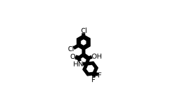 O=C1NC2(CCC(F)(F)CC2)C(O)=C1c1ccc(Cl)cc1Cl